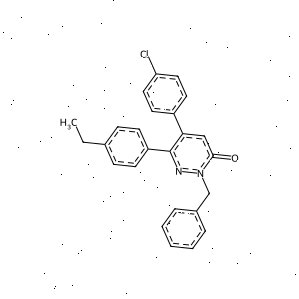 CCc1ccc(-c2nn(Cc3ccccc3)c(=O)cc2-c2ccc(Cl)cc2)cc1